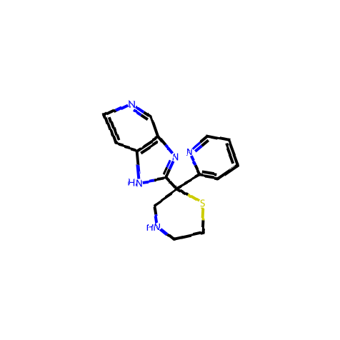 c1ccc(C2(c3nc4cnccc4[nH]3)CNCCS2)nc1